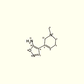 CN1CCC=C(c2cnoc2N)C1